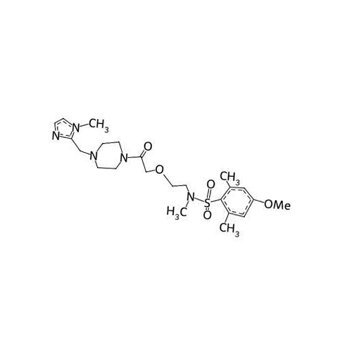 COc1cc(C)c(S(=O)(=O)N(C)CCOCC(=O)N2CCN(Cc3nccn3C)CC2)c(C)c1